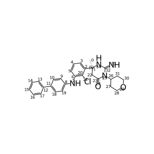 C[C@@]1(c2cccc(Nc3ccc(-c4ccccc4)cc3)c2Cl)CC(=O)N(C2CCOCC2)C(=N)N1